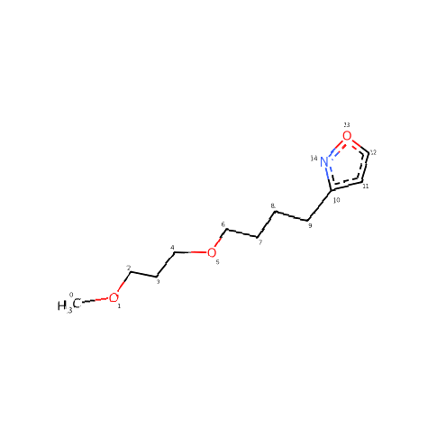 COCCCOCCCCc1ccon1